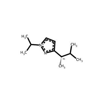 CC(C)[C@H](C)c1ccn(C(C)C)n1